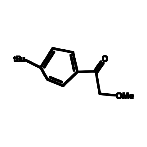 COCC(=O)c1ccc(C(C)(C)C)cc1